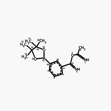 CC(=N)OC(=N)c1cccc(B2OC(C)(C)C(C)(C)O2)c1